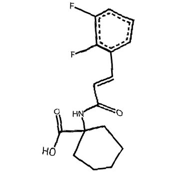 O=C(/C=C/c1cccc(F)c1F)NC1(C(=O)O)CCCCC1